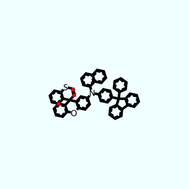 c1ccc(C2(c3ccc(N(c4ccc5c(c4)C4(c6ccccc6O5)c5ccccc5Sc5ccccc54)c4cccc5ccccc45)cc3)c3ccccc3-c3ccccc32)cc1